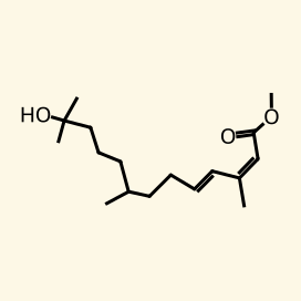 COC(=O)C=C(C)C=CCCC(C)CCCC(C)(C)O